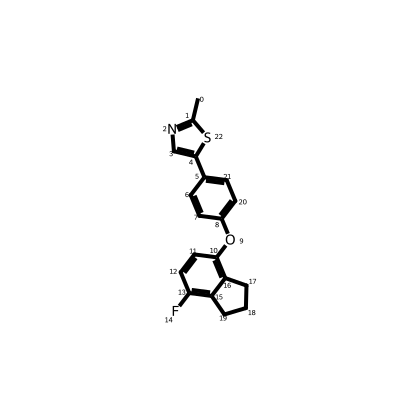 Cc1ncc(-c2ccc(Oc3ccc(F)c4c3CCC4)cc2)s1